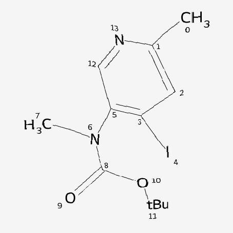 Cc1cc(I)c(N(C)C(=O)OC(C)(C)C)cn1